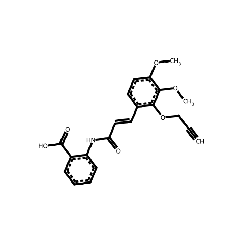 C#CCOc1c(C=CC(=O)Nc2ccccc2C(=O)O)ccc(OC)c1OC